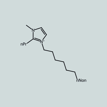 CCCCCCCCCCCCCCC[n+]1ccn(C)c1CCC